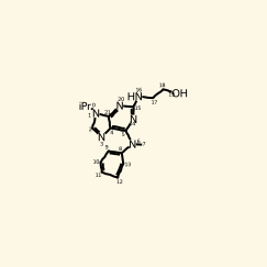 CC(C)n1cnc2c(N(C)c3ccccc3)nc(NCCO)nc21